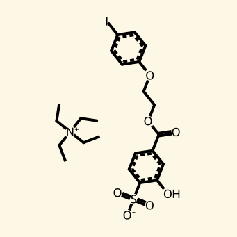 CC[N+](CC)(CC)CC.O=C(OCCOc1ccc(I)cc1)c1ccc(S(=O)(=O)[O-])c(O)c1